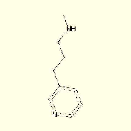 CNCCCc1cccnc1